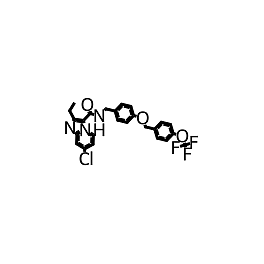 CCc1nc2cc(Cl)ccn2c1C(=O)NCc1ccc(OCc2ccc(OC(F)(F)F)cc2)cc1